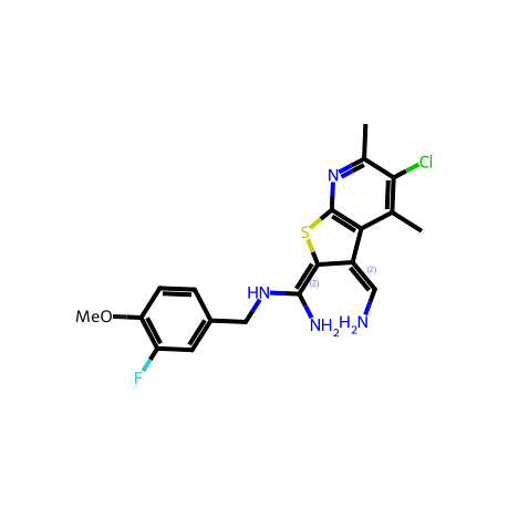 COc1ccc(CN/C(N)=c2\sc3nc(C)c(Cl)c(C)c3\c2=C\N)cc1F